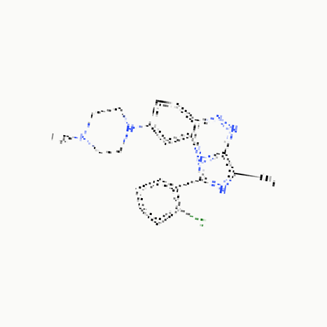 Cc1nc(-c2ccccc2Cl)n2c1nnc1ccc(N3CCN(C)CC3)cc12